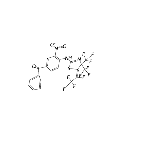 O=C(c1ccccc1)c1ccc(NC2=NC(C(F)(F)F)(C(F)(F)F)C(=C(F)C(F)(F)F)S2)c([N+](=O)[O-])c1